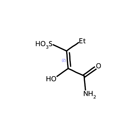 CC/C(=C(/O)C(N)=O)S(=O)(=O)O